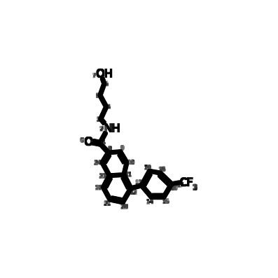 O=C(NCCCCO)c1ccc2c(-c3ccc(C(F)(F)F)cc3)cccc2c1